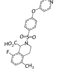 Cc1ccc(F)c2c1CCN(S(=O)(=O)c1ccc(Oc3ccncc3)cc1)C2C(=O)O